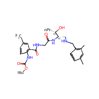 CCC[C@H](O)[C@H](CNCc1ccc(C)cc1C)NC(=O)CNC(=O)c1cc(C(F)(F)F)ccc1NC(=O)OC(C)(C)C